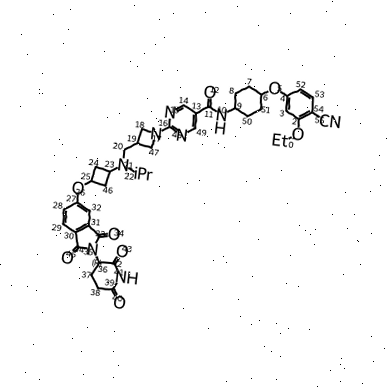 CCOc1cc(OC2CCC(NC(=O)c3cnc(N4CC(CN(C(C)C)C5CC(Oc6ccc7c(c6)C(=O)N([C@@H]6CCC(=O)NC6=O)C7=O)C5)C4)nc3)CC2)ccc1C#N